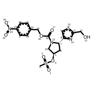 CS(=O)(=O)O[C@@H]1C[C@@H](c2csc(CO)n2)N(C(=O)OCc2ccc([N+](=O)[O-])cc2)C1